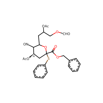 CC(=O)OC(COC=O)CC1OC(Sc2ccccc2)(C(=O)OCc2ccccc2)C[C@@H](OC(C)=O)C1N=O